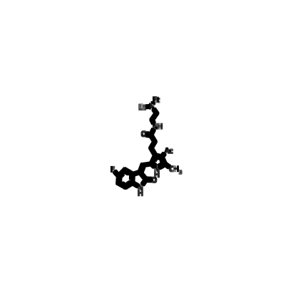 CCN(CC)CCNC(=O)CCc1c(/C=C2\C(=O)Nc3ccc(F)cc32)[nH]c(C)c1C(C)=O